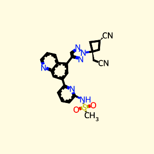 CS(=O)(=O)Nc1cccc(-c2cc(-c3cnn([C@]4(CC#N)C[C@H](C#N)C4)n3)c3cccnc3c2)n1